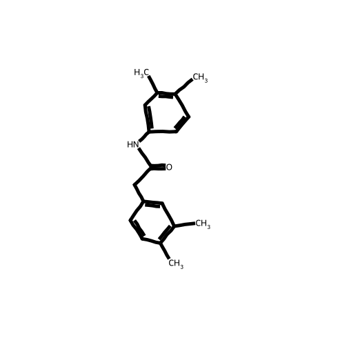 Cc1ccc(CC(=O)Nc2ccc(C)c(C)c2)cc1C